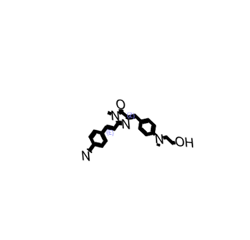 CN1C(=O)/C(=C/c2ccc(N(C)CCO)cc2)N=C1/C=C/c1ccc(C#N)cc1